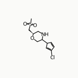 CS(=O)(=O)C[C@H]1CNC(C2C=CC(Cl)=C2)CO1